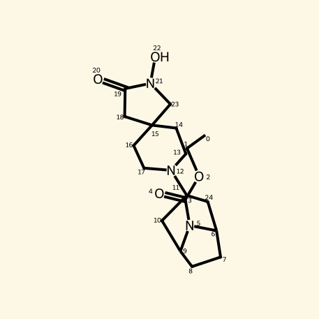 CCOC(=O)N1C2CCC1CC(N1CCC3(CC1)CC(=O)N(O)C3)C2